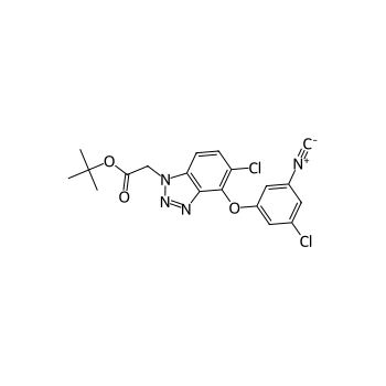 [C-]#[N+]c1cc(Cl)cc(Oc2c(Cl)ccc3c2nnn3CC(=O)OC(C)(C)C)c1